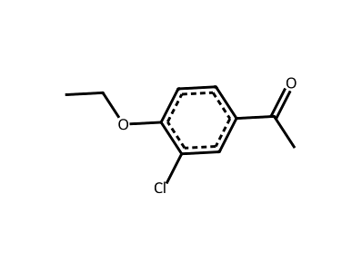 CCOc1ccc(C(C)=O)cc1Cl